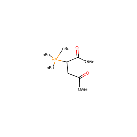 CCCC[PH](CCCC)(CCCC)C(CC(=O)OC)C(=O)OC